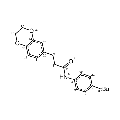 CC(C)(C)c1ccc(NC(=O)CCc2ccc3c(c2)OCCO3)cc1